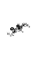 CCOC(=O)C(CCN[C@@H](C)C(=O)N1[C@H](C(=O)OCC(C)C)C[C@@H]2CCC[C@@H]21)c1ccccc1